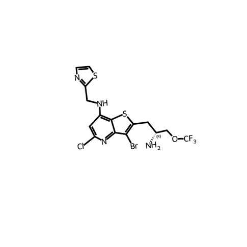 N[C@@H](COC(F)(F)F)Cc1sc2c(NCc3nccs3)cc(Cl)nc2c1Br